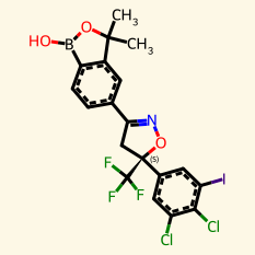 CC1(C)OB(O)c2ccc(C3=NO[C@@](c4cc(Cl)c(Cl)c(I)c4)(C(F)(F)F)C3)cc21